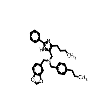 CCCCc1nc(-c2ccccc2)[nH]c1CN(Cc1ccc(CCC)cc1)Cc1ccc2c(c1)OCO2